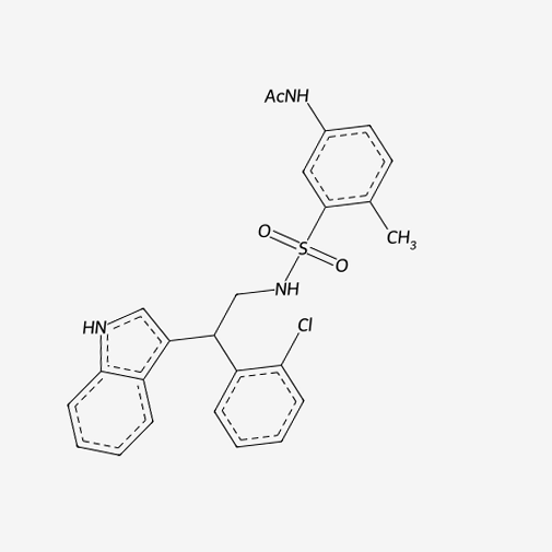 CC(=O)Nc1ccc(C)c(S(=O)(=O)NCC(c2ccccc2Cl)c2c[nH]c3ccccc23)c1